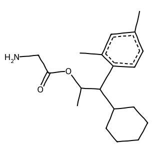 Cc1ccc(C(C2CCCCC2)C(C)OC(=O)CN)c(C)c1